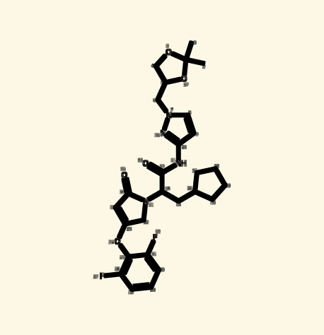 CC1(C)OCC(Cn2ccc(NC(=O)C(CC3CCCC3)N3CC(Oc4c(F)cccc4F)=CC3=O)n2)O1